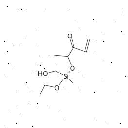 C=CC(=O)C(C)O[Si](C)(CO)OCC